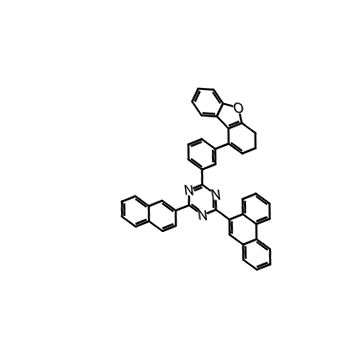 C1=C(c2cccc(-c3nc(-c4ccc5ccccc5c4)nc(-c4cc5ccccc5c5ccccc45)n3)c2)c2c(oc3ccccc23)CC1